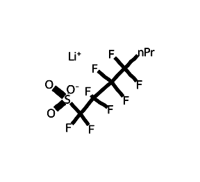 CCCC(F)(F)C(F)(F)C(F)(F)C(F)(F)S(=O)(=O)[O-].[Li+]